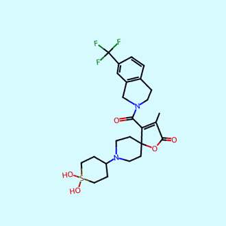 CC1=C(C(=O)N2CCc3ccc(C(F)(F)F)cc3C2)C2(CCN(C3CCS(O)(O)CC3)CC2)OC1=O